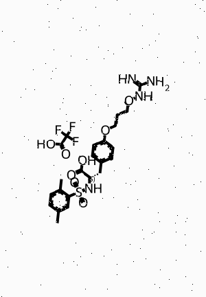 Cc1ccc(C)c(S(=O)(=O)N[C@@H](Cc2ccc(OCCCONC(=N)N)cc2)C(=O)O)c1.O=C(O)C(F)(F)F